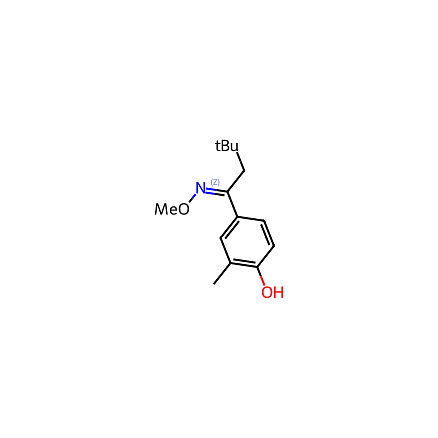 CO/N=C(/CC(C)(C)C)c1ccc(O)c(C)c1